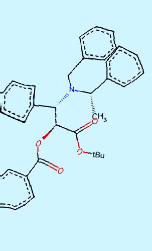 C[C@@H](c1ccccc1)N(Cc1ccccc1)[C@@H](c1ccccc1)[C@H](OC(=O)c1ccccc1)C(=O)OC(C)(C)C